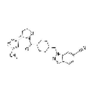 Cc1cc([C@@H]2CCON2C(=O)[C@H]2CC[C@H](Cn3ncc4ccc(C#N)cc43)CC2)co1